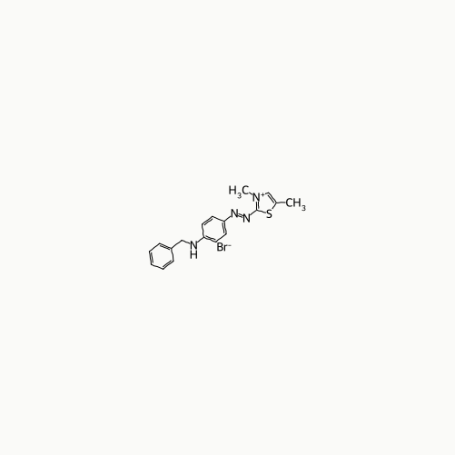 Cc1c[n+](C)c(/N=N/c2ccc(NCc3ccccc3)cc2)s1.[Br-]